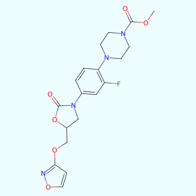 COC(=O)N1CCN(c2ccc(N3CC(COc4ccon4)OC3=O)cc2F)CC1